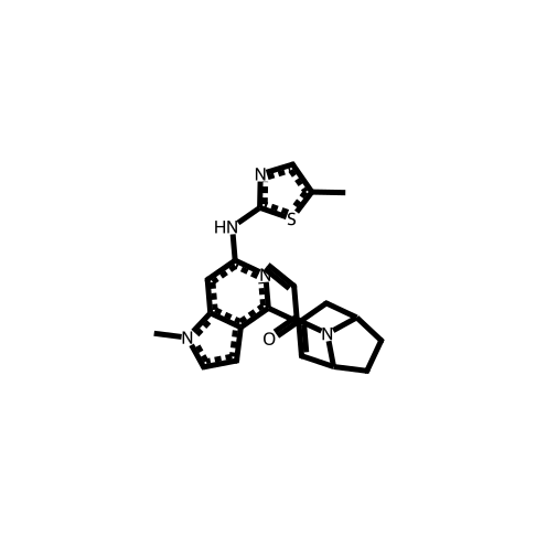 C=CC(=O)N1C2C=C(c3nc(Nc4ncc(C)s4)cc4c3ccn4C)CC1CC2